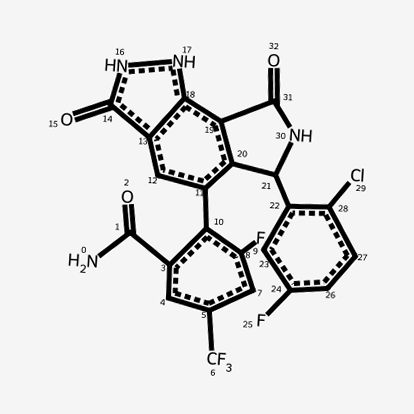 NC(=O)c1cc(C(F)(F)F)cc(F)c1-c1cc2c(=O)[nH][nH]c2c2c1C(c1cc(F)ccc1Cl)NC2=O